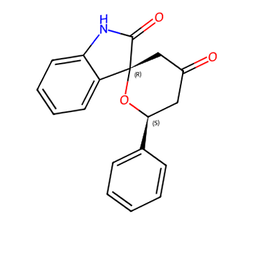 O=C1C[C@@H](c2ccccc2)O[C@@]2(C1)C(=O)Nc1ccccc12